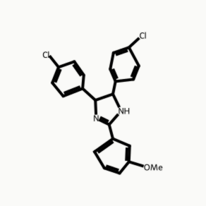 COc1cccc(C2=NC(c3ccc(Cl)cc3)C(c3ccc(Cl)cc3)N2)c1